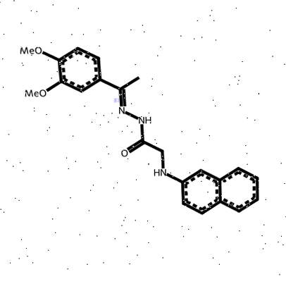 COc1ccc(/C(C)=N/NC(=O)CNc2ccc3ccccc3c2)cc1OC